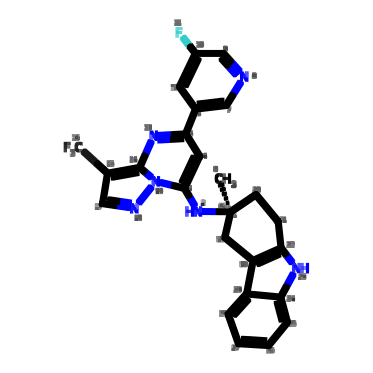 C[C@]1(Nc2cc(-c3cncc(F)c3)nc3c(C(F)(F)F)cnn23)CCc2[nH]c3ccccc3c2C1